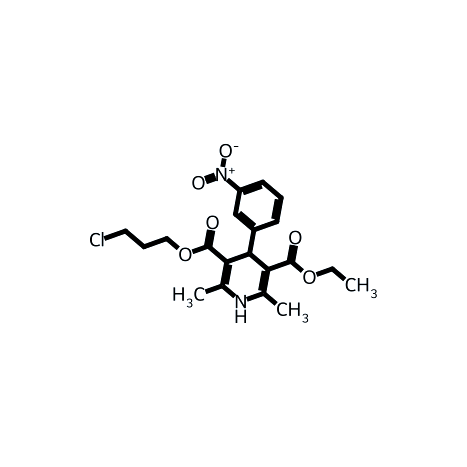 CCOC(=O)C1=C(C)NC(C)=C(C(=O)OCCCCl)C1c1cccc([N+](=O)[O-])c1